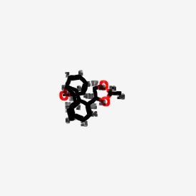 C=CCC12C=CC=CC1(Cc1ccccc1C1COC(C)O1)O2